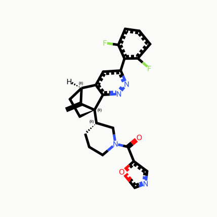 C=C1[C@H]2CC[C@]1([C@H]1CCCN(C(=O)c3cnco3)C1)c1nnc(-c3c(F)cccc3F)cc12